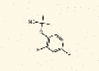 CC(C)(C#N)Oc1ccc(F)cc1F